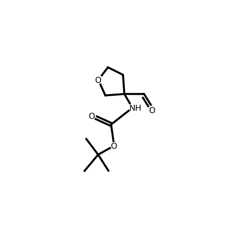 CC(C)(C)OC(=O)NC1(C=O)CCOC1